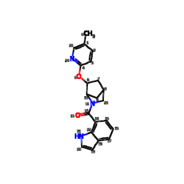 Cc1ccc(OC2CC3CC2N(C(=O)c2cccc4cc[nH]c24)C3)nc1